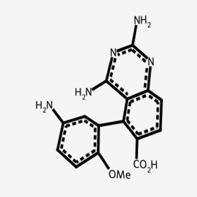 COc1ccc(N)cc1-c1c(C(=O)O)ccc2nc(N)nc(N)c12